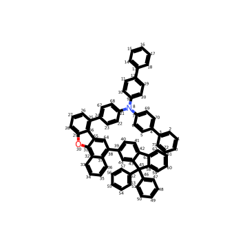 c1ccc(-c2ccc(N(c3ccc(-c4ccccc4)cc3)c3ccc(-c4cccc5oc6c7ccccc7c(-c7ccc8c(c7)C(c7ccccc7)(c7ccccc7)c7ccccc7-8)cc6c45)cc3)cc2)cc1